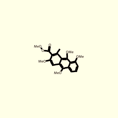 COOC(=O)c1c(OC)cc2c(OC)c3cccc(OC)c3c(OC)c2c1C